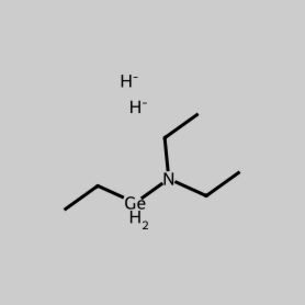 C[CH2][GeH2][N](CC)CC.[H-].[H-]